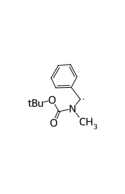 CN([CH]c1ccccc1)C(=O)OC(C)(C)C